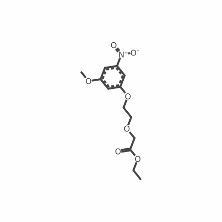 CCOC(=O)COCCOc1cc(OC)cc([N+](=O)[O-])c1